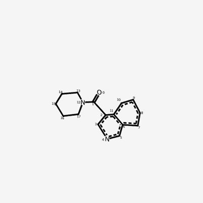 O=C(c1cncc2ccccc12)N1CC[CH]CC1